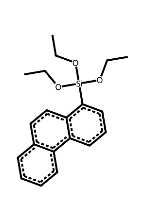 CCO[Si](OCC)(OCC)c1cccc2c1ccc1ccccc12